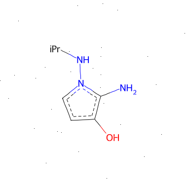 CC(C)Nn1ccc(O)c1N